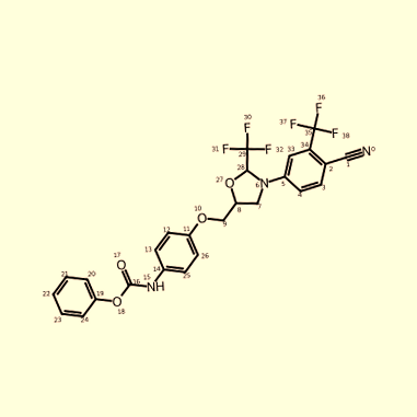 N#Cc1ccc(N2CC(COc3ccc(NC(=O)Oc4ccccc4)cc3)OC2C(F)(F)F)cc1C(F)(F)F